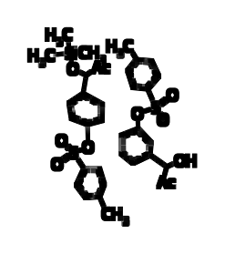 CC(=O)C(O)c1cccc(OS(=O)(=O)c2ccc(C)cc2)c1.CC(=O)C(O[Si](C)(C)C)c1ccc(OS(=O)(=O)c2ccc(C)cc2)cc1